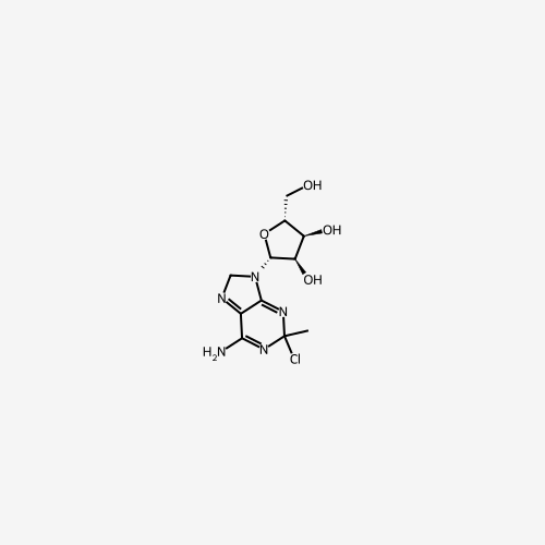 CC1(Cl)N=C(N)C2=NCN([C@@H]3O[C@H](CO)[C@@H](O)[C@H]3O)C2=N1